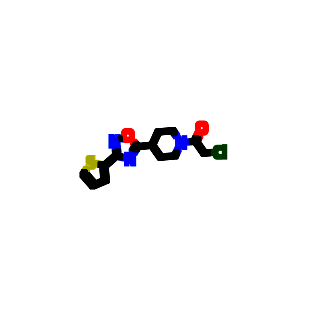 O=C(CCl)N1CCC(c2nc(-c3cccs3)no2)CC1